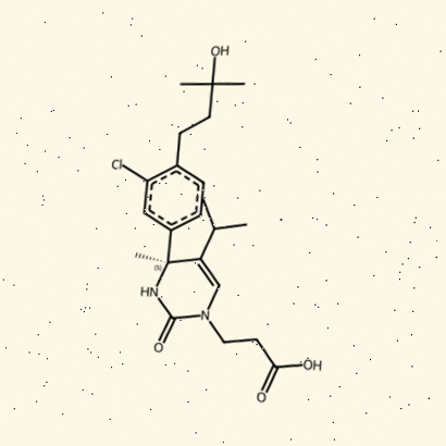 CC(C)C1=CN(CCC(=O)O)C(=O)N[C@@]1(C)c1ccc(CCC(C)(C)O)c(Cl)c1